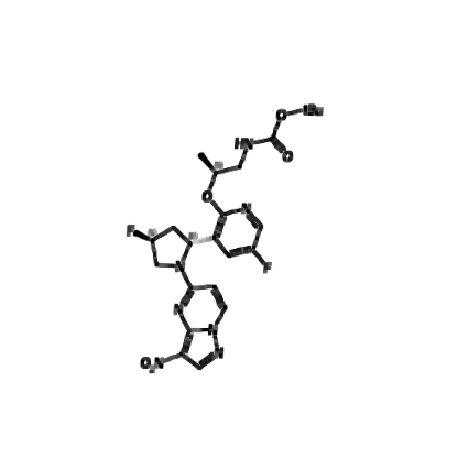 C[C@@H](CNC(=O)OC(C)(C)C)Oc1ncc(F)cc1[C@H]1C[C@H](F)CN1c1ccn2ncc([N+](=O)[O-])c2n1